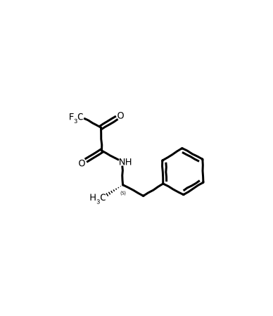 C[C@@H](Cc1ccccc1)NC(=O)C(=O)C(F)(F)F